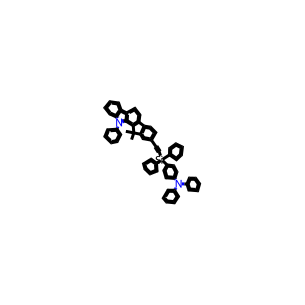 CC1(C)c2cc(C#C[Si](c3ccccc3)(c3ccccc3)c3ccc(N(c4ccccc4)c4ccccc4)cc3)ccc2-c2ccc3c4ccccc4n(-c4ccccc4)c3c21